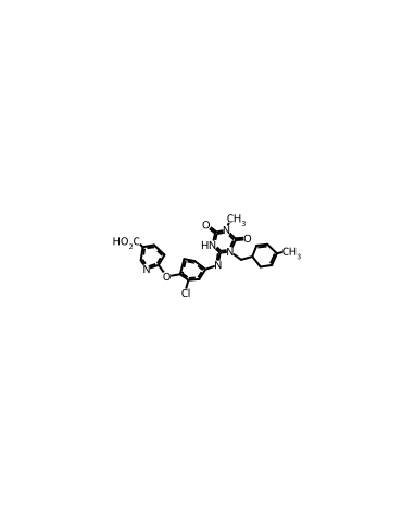 CC1=CCC(Cn2c(=O)n(C)c(=O)[nH]/c2=N\c2ccc(Oc3ccc(C(=O)O)cn3)c(Cl)c2)C=C1